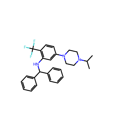 CC(C)N1CCN(c2ccc(C(F)(F)F)c(NC(c3ccccc3)c3ccccc3)c2)CC1